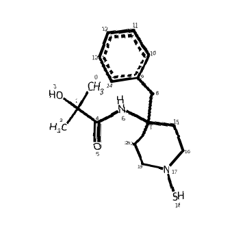 CC(C)(O)C(=O)NC1(Cc2ccccc2)CCN(S)CC1